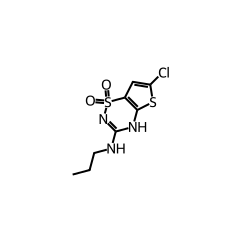 CCCNC1=NS(=O)(=O)c2cc(Cl)sc2N1